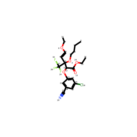 CCCCOC(/C=C/OCC)(C(Oc1cc(Cl)cc(C#N)c1)C(=O)OCC)C(F)(F)F